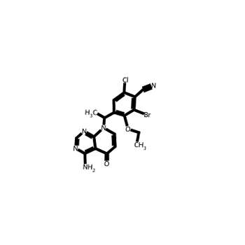 CCOc1c(C(C)n2ccc(=O)c3c(N)ncnc32)cc(Cl)c(C#N)c1Br